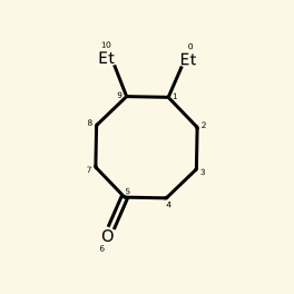 CCC1CCCC(=O)CCC1CC